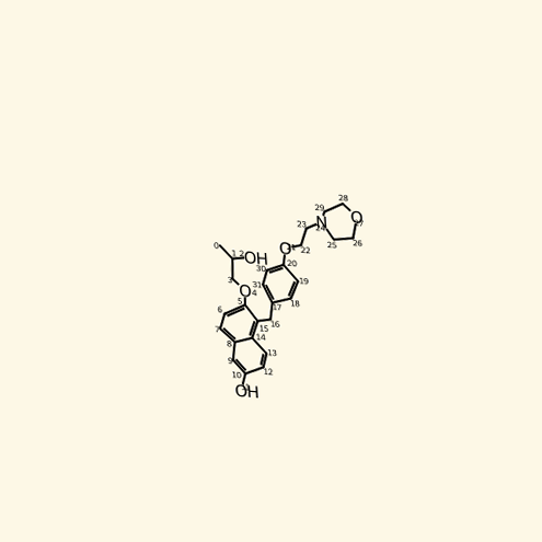 CC(O)COc1ccc2cc(O)ccc2c1Cc1ccc(OCCN2CCOCC2)cc1